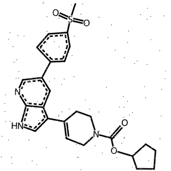 CS(=O)(=O)c1ccc(-c2cnc3[nH]cc(C4=CCN(C(=O)OC5CCCC5)CC4)c3c2)cc1